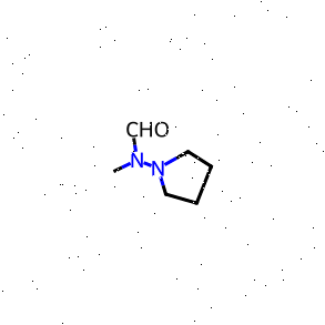 CN(C=O)N1CCCC1